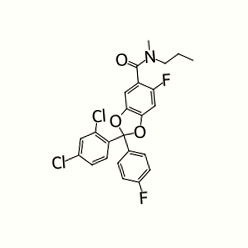 CCCN(C)C(=O)c1cc2c(cc1F)OC(c1ccc(F)cc1)(c1ccc(Cl)cc1Cl)O2